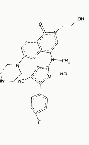 CN(c1nc(-c2ccc(F)cc2)c(C#N)s1)c1cn(CCO)c(=O)c2ccc(N3CCNCC3)cc12.Cl